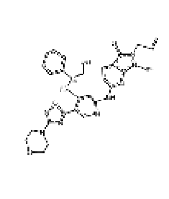 C=CCn1c(=O)c2ccc(Nc3cc(N[C@H](CO)c4ccccc4)c(-c4nc(N5CCOCC5)no4)cn3)nc2n1C(C)C